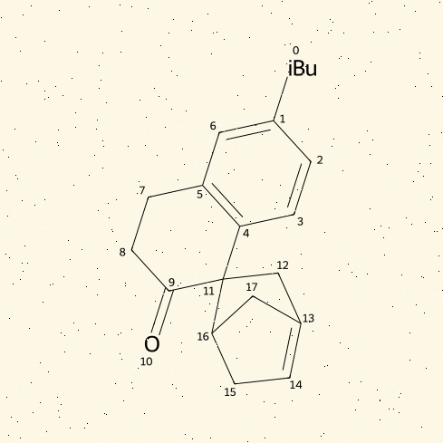 CCC(C)c1ccc2c(c1)CCC(=O)C21CC2=CCC1C2